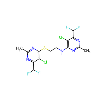 Cc1nc(NCCSc2nc(C)nc(C(F)F)c2Cl)c(Cl)c(C(F)F)n1